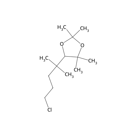 CC1(C)OC(C(C)(C)CCCCl)C(C)(C)O1